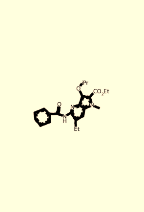 CCOC(=O)c1c(OC(C)C)c2nc(NC(=O)c3ccccc3)c(CC)cc2n1C